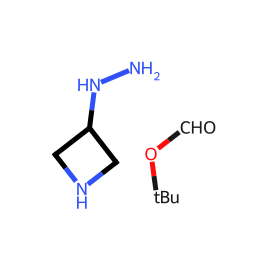 CC(C)(C)OC=O.NNC1CNC1